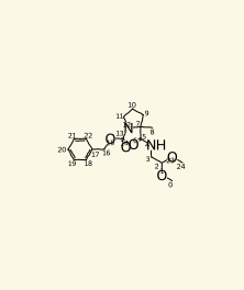 COC(CNC(=O)C1(C)CCCN1C(=O)OCc1ccccc1)OC